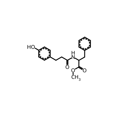 COC(=O)C(Cc1ccccc1)NC(=O)CCc1ccc(O)cc1